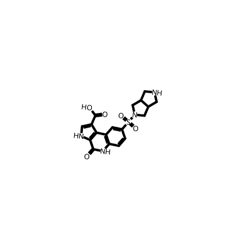 O=C(O)c1c[nH]c2c(=O)[nH]c3ccc(S(=O)(=O)N4CC5CNCC5C4)cc3c12